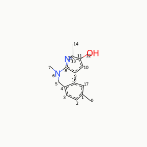 Cc1ccc(CN(C)c2ccc(O)c(C)n2)cc1